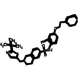 CC(C)(C)c1ncc(CN2CCc3cc(S(=O)(=O)Nc4ccc(OCCC5CCOCC5)cc4F)ccc3C2)s1